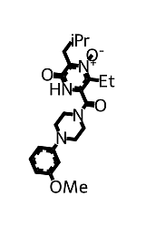 CCc1c(C(=O)N2CCN(c3cccc(OC)c3)CC2)[nH]c(=O)c(CC(C)C)[n+]1[O-]